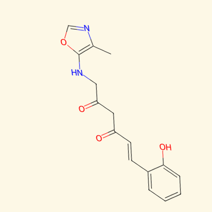 Cc1ncoc1NCC(=O)CC(=O)C=Cc1ccccc1O